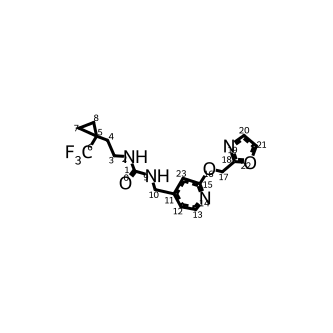 O=C(NCCC1(C(F)(F)F)CC1)NCc1ccnc(OCc2ncco2)c1